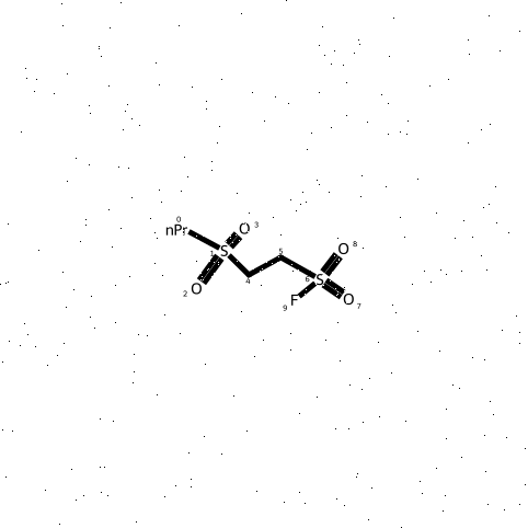 CCCS(=O)(=O)CCS(=O)(=O)F